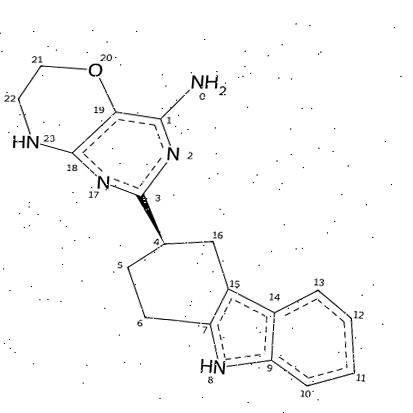 Nc1nc([C@@H]2CCc3[nH]c4ccccc4c3C2)nc2c1OCCN2